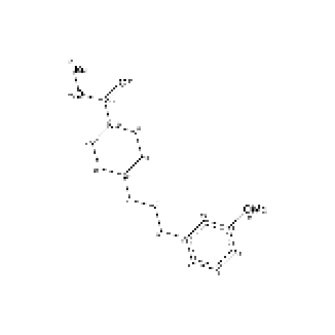 COc1cccc(CCCC2CCN(C(=O)OC(C)(C)C)CC2)c1